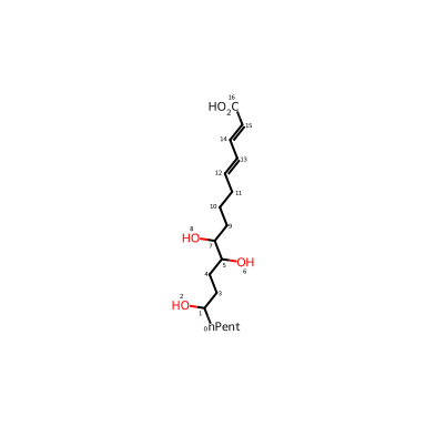 CCCCCC(O)CCC(O)C(O)CCCC=CC=CC(=O)O